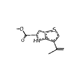 C=C(C)c1csc2cc(C(=O)OC)[nH]c12